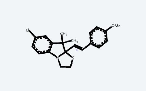 COc1ccc(/C=C/C23SCCN2c2ccc(Cl)cc2C3(C)C)cc1